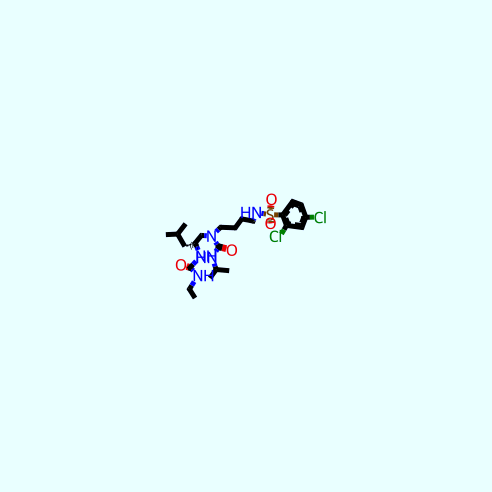 CCNC(=O)N[C@H](CC(C)C)CN(CCCCNS(=O)(=O)c1ccc(Cl)cc1Cl)C(=O)NC(C)C